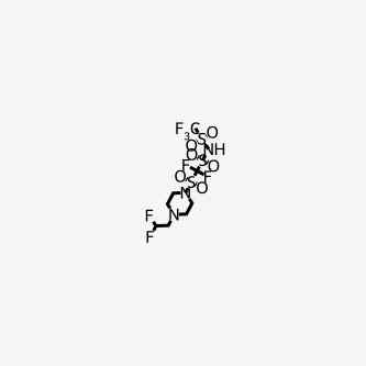 O=S(=O)(NS(=O)(=O)C(F)(F)S(=O)(=O)N1CCN(CC(F)F)CC1)C(F)(F)F